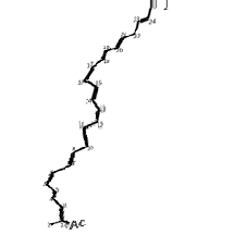 CC(=O)/C(C)=C/C=C/C=C\C=C\C=C\C=C/C=C/C=C\C=C\C=C\C/C=C/C(=O)O